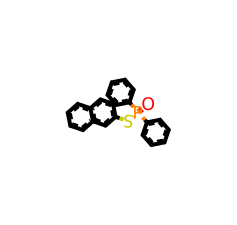 O=P(Sc1ccc2ccccc2c1)(c1ccccc1)c1ccccc1